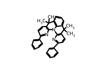 CC1(C)c2ccc(-c3ccccc3)nc2N2c3nc(-c4ccccc4)ccc3C(C)(C)c3cccc1c32